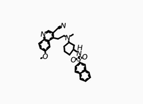 COc1ccc2ncc(C#N)c(CCN(C)C3CCCC(NS(=O)(=O)c4ccc5ccccc5c4)C3)c2c1